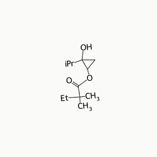 CCC(C)(C)C(=O)OC1CC1(O)C(C)C